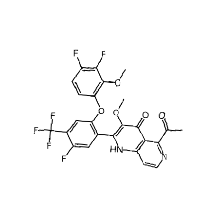 COc1c(Oc2cc(C(F)(F)F)c(F)cc2-c2[nH]c3ccnc(C(C)=O)c3c(=O)c2OC)ccc(F)c1F